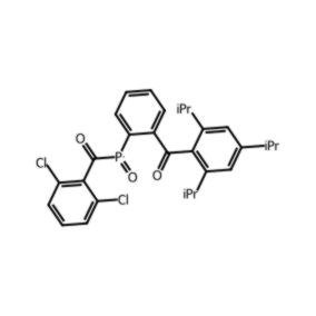 CC(C)c1cc(C(C)C)c(C(=O)c2ccccc2[P](=O)C(=O)c2c(Cl)cccc2Cl)c(C(C)C)c1